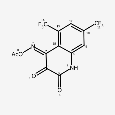 CC(=O)ON=C1C(=O)C(=O)Nc2cc(C(F)(F)F)cc(C(F)(F)F)c21